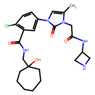 Cc1cn(-c2ccc(Cl)c(C(=O)NCC3(O)CCCCCC3)c2)c(=O)n1CC(=O)NC1CNC1